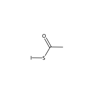 CC(=O)SI